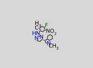 Cc1cc(F)c([N+](=O)[O-])cc1Nc1nccc(-c2cn(C)c3ccccc23)n1